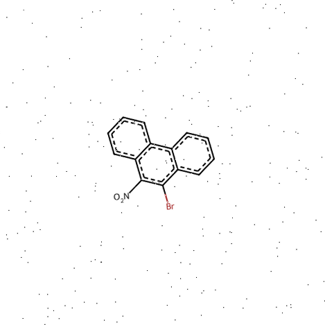 O=[N+]([O-])c1c(Br)c2ccccc2c2ccccc12